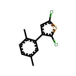 Cc1c[c]c(C)c(-c2cc(Cl)sc2Cl)c1